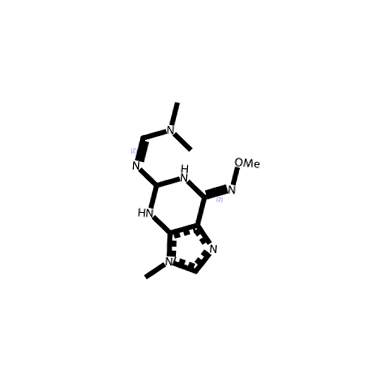 CO/N=C1\NC(/N=C\N(C)C)Nc2c1ncn2C